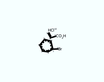 Brc1ccccc1.C=CC(=O)O.Cl